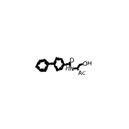 CC(=O)C(CO)NC(=O)c1ccc(-c2ccccc2)cc1